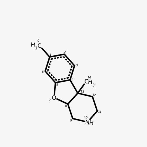 Cc1ccc2c(c1)OC1CNCCC21C